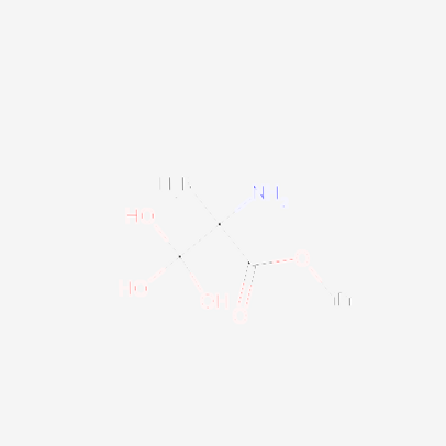 BC(N)(C(=O)OC(C)C)C(O)(O)O